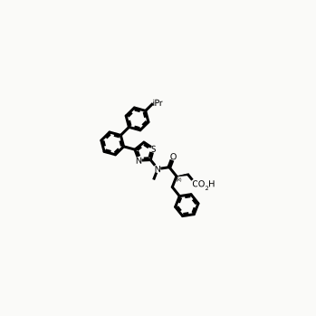 CC(C)c1ccc(-c2ccccc2-c2csc(N(C)C(=O)[C@@H](CC(=O)O)Cc3ccccc3)n2)cc1